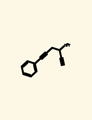 C#CC(CC#Cc1ccccc1)CCC